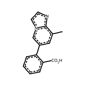 Cc1cc(-c2ccccc2C(=O)O)cn2ccnc12